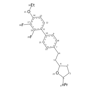 CCCC1CCC(CCc2ccc(-c3ccc(OCC)c(F)c3F)cc2)O1